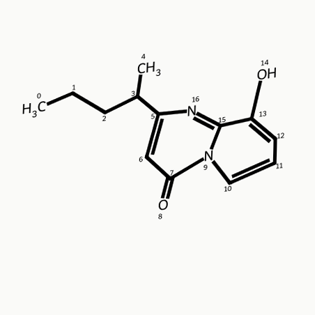 CCCC(C)c1cc(=O)n2cccc(O)c2n1